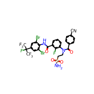 N#Cc1ccc(C(=O)N(CCS(N)(=O)=O)c2cccc(C(=O)Nc3c(Br)cc(C(F)(C(F)(F)F)C(F)(F)F)cc3Br)c2F)cc1